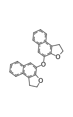 c1ccc2c3c(c(Oc4cc5ccccc5c5c4OCC5)cc2c1)OCC3